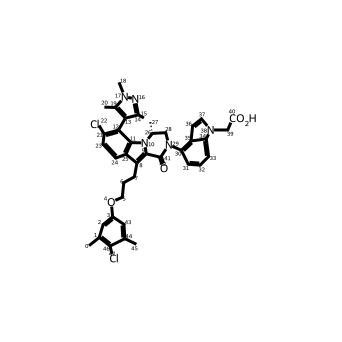 Cc1cc(OCCCc2c3n(c4c(-c5c(C)nn(C)c5C)c(Cl)ccc24)[C@H](C)CN(c2cccc4c2ccn4CC(=O)O)C3=O)cc(C)c1Cl